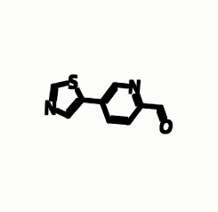 O=Cc1ccc(-c2cncs2)cn1